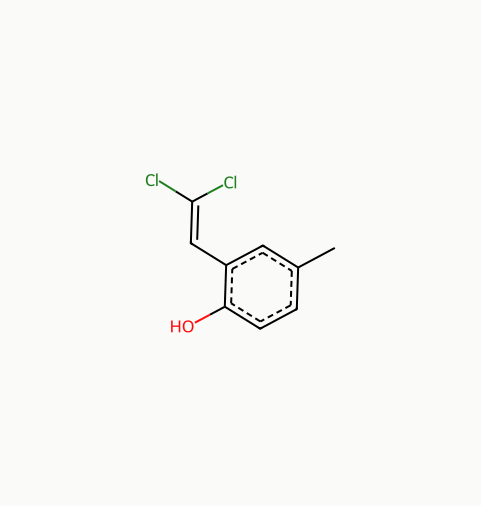 Cc1ccc(O)c(C=C(Cl)Cl)c1